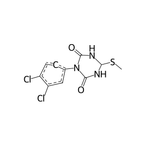 CSC1NC(=O)N(c2ccc(Cl)c(Cl)c2)C(=O)N1